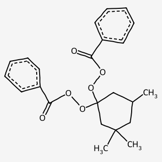 CC1CC(C)(C)CC(OOC(=O)c2ccccc2)(OOC(=O)c2ccccc2)C1